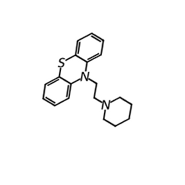 c1ccc2c(c1)Sc1ccccc1N2CCN1CCCCC1